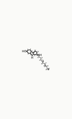 Oc1ccc2c(c1)[nH]c1cc(NCCCOCCOCCF)ccc12